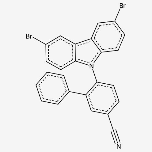 N#Cc1ccc(-n2c3ccc(Br)cc3c3cc(Br)ccc32)c(-c2ccccc2)c1